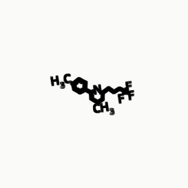 Cc1ccc(C2=CC(C)CC(CCCC(F)(F)F)=N2)cc1